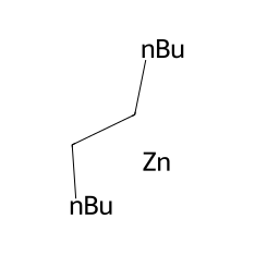 CCCCCCCCCC.[Zn]